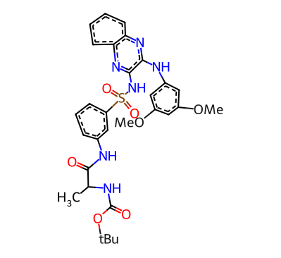 COc1cc(Nc2nc3ccccc3nc2NS(=O)(=O)c2cccc(NC(=O)C(C)NC(=O)OC(C)(C)C)c2)cc(OC)c1